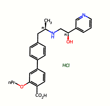 CCCOc1cc(-c2ccc(C[C@@H](C)NC[C@H](O)c3cccnc3)cc2)ccc1C(=O)O.Cl